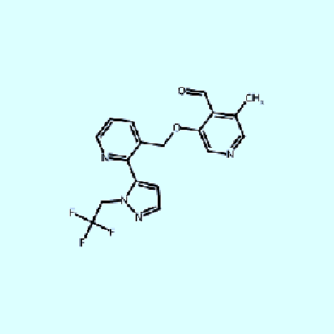 Cc1cncc(OCc2cccnc2-c2ccnn2CC(F)(F)F)c1C=O